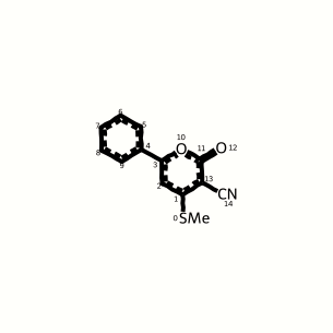 CSc1cc(-c2ccccc2)oc(=O)c1C#N